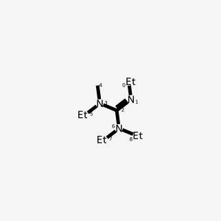 CC/N=C(\N(C)CC)N(CC)CC